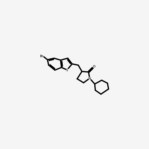 O=C1C(Cc2cc3cc(Br)ccc3s2)CCN1C1CCCCC1